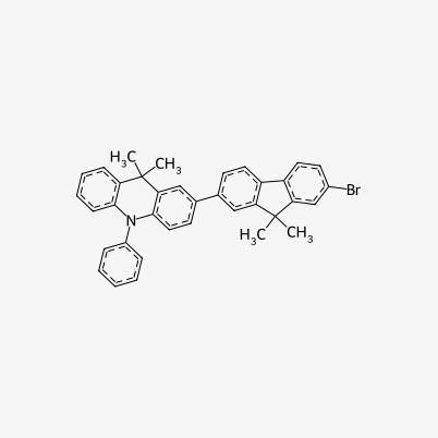 CC1(C)c2cc(Br)ccc2-c2ccc(-c3ccc4c(c3)C(C)(C)c3ccccc3N4c3ccccc3)cc21